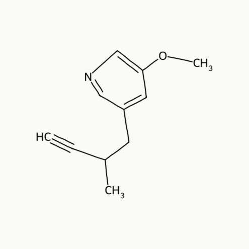 C#CC(C)Cc1cncc(OC)c1